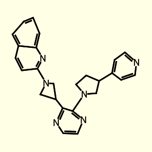 c1ccc2nc(N3CC(c4nccnc4N4CCC(c5ccncc5)C4)C3)ccc2c1